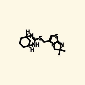 CC1(C)CN2C(CSC3=N[C@H]4CCC[C@@H](C4)N3)=CSC2=N1